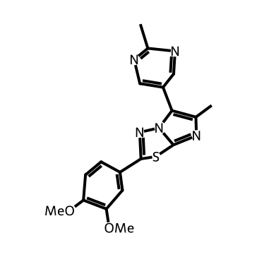 COc1ccc(-c2nn3c(-c4cnc(C)nc4)c(C)nc3s2)cc1OC